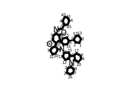 c1ccc(-c2cccc(N(c3ccc4c(c3)c3ccccc3n4-c3ccccc3)c3cccc4oc5cc6nc(-c7ccccc7)oc6cc5c34)c2)cc1